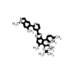 C=C(Cl)/C=C\C(=C/C)c1c([C@H](OC(C)(C)C)C(=O)O)c(C)cc2nc(-c3ccnc(-c4cc5cnn(C)c5cc4C)c3)sc12